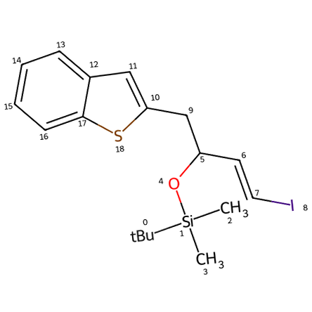 CC(C)(C)[Si](C)(C)OC(C=CI)Cc1cc2ccccc2s1